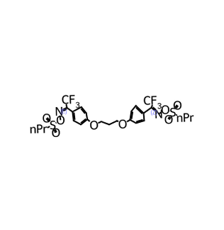 CCCS(=O)(=O)O/N=C(/c1ccc(OCCCOc2ccc(/C(=N\OS(=O)(=O)CCC)C(F)(F)F)cc2)cc1)C(F)(F)F